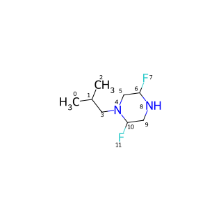 CC(C)CN1CC(F)NCC1F